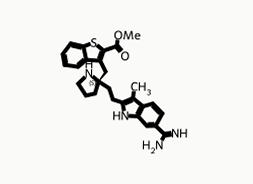 COC(=O)c1sc2ccccc2c1C[C@@]1(CCc2[nH]c3cc(C(=N)N)ccc3c2C)CCCN1